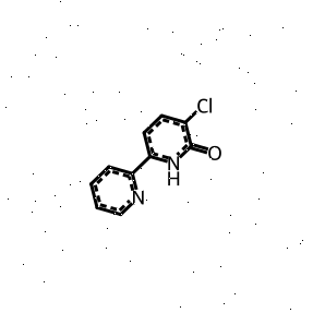 O=c1[nH]c(-c2ccccn2)ccc1Cl